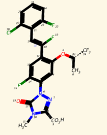 C[C@H](Oc1cc(-n2nc(C(=O)O)n(C)c2=O)c(F)cc1/C(F)=C/c1c(F)cccc1Cl)C(F)(F)F